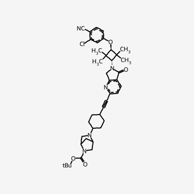 CC(C)(C)OC(=O)N1CC2CC1CN2C1CCC(C#Cc2ccc3c(n2)CN([C@H]2C(C)(C)[C@H](Oc4ccc(C#N)c(Cl)c4)C2(C)C)C3=O)CC1